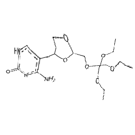 CCOC(OCC)(OCC)OCC1OCC(c2c[nH]c(=O)nc2N)O1